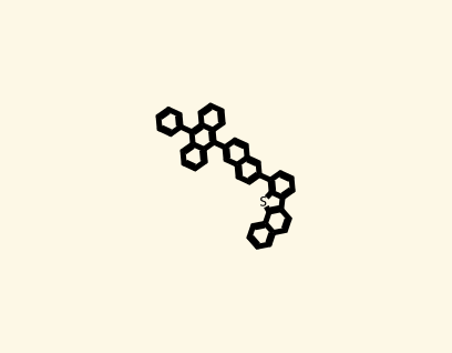 c1ccc(-c2c3ccccc3c(-c3ccc4cc(-c5cccc6c5sc5c7ccccc7ccc65)ccc4c3)c3ccccc23)cc1